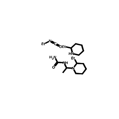 CCC1CCCCN1.CCC1CCCCN1C(C)NC(N)=O.CCN=C=O